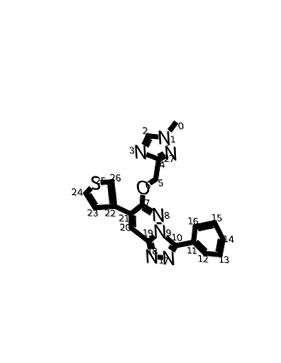 Cn1cnc(COc2nn3c(-c4ccccc4)nnc3cc2-c2ccsc2)n1